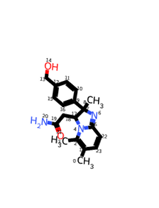 CC1=C(C)N2C(=NC(C)(c3ccc(CO)cc3)C2CC(N)=O)C=C1